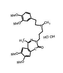 COc1ccc(CCN(C)CCCN2N=C(C)c3cc(OC)c(OC)cc3CC2=O)cc1OC.Cl.Cl